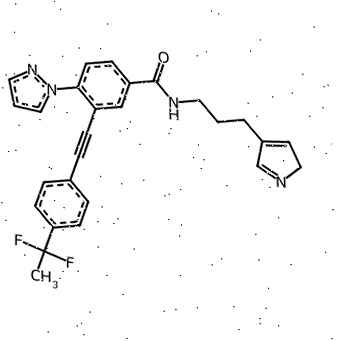 CC(F)(F)c1ccc(C#Cc2cc(C(=O)NCCCC3=CCN=C3)ccc2-n2cccn2)cc1